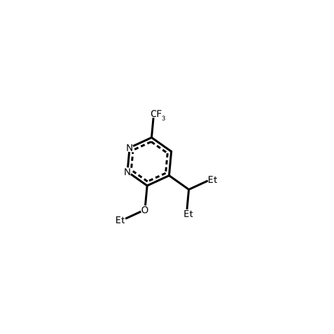 CCOc1nnc(C(F)(F)F)cc1C(CC)CC